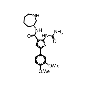 COc1ccc(-c2cc(C(=O)N[C@H]3CCCCNC3)c(NC(N)=O)s2)cc1OC